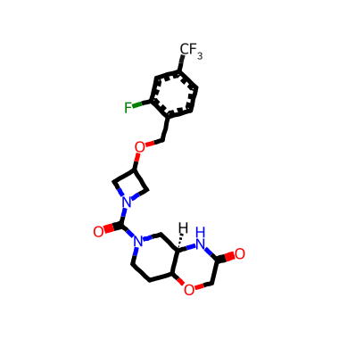 O=C1COC2CCN(C(=O)N3CC(OCc4ccc(C(F)(F)F)cc4F)C3)C[C@H]2N1